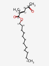 CCCCCCCCCCCCOC(=O)C(C)=CCC(C)=O